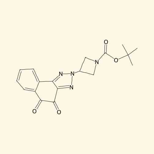 CC(C)(C)OC(=O)N1CC(n2nc3c(n2)-c2ccccc2C(=O)C3=O)C1